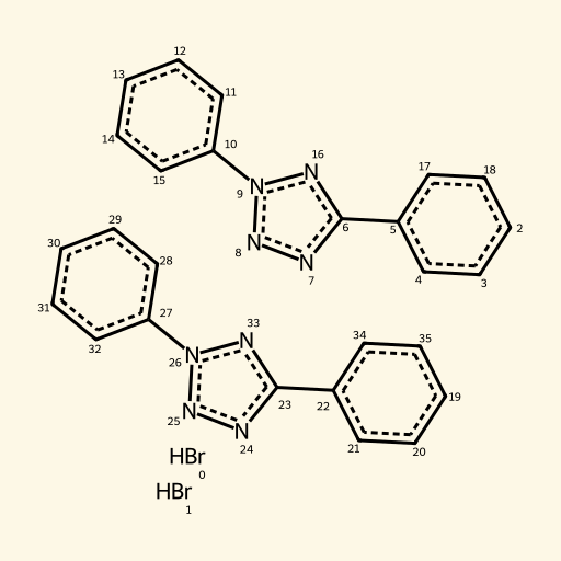 Br.Br.c1ccc(-c2nnn(-c3ccccc3)n2)cc1.c1ccc(-c2nnn(-c3ccccc3)n2)cc1